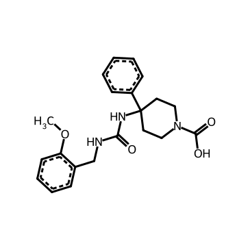 COc1ccccc1CNC(=O)NC1(c2ccccc2)CCN(C(=O)O)CC1